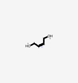 OC/[C]=C\CO